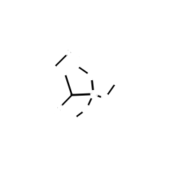 CCO[Si](OCC)(OCC)C(C)N.CN